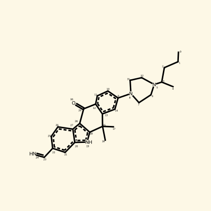 CCCC(C)N1CCN(c2ccc3c(c2)C(C)(C)c2[nH]c4cc(C=N)ccc4c2C3=O)CC1